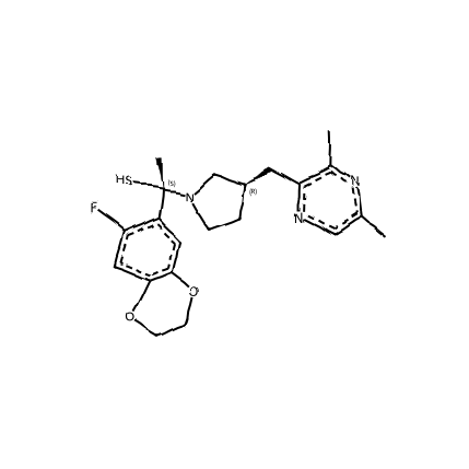 Cc1cnc(C[C@H]2CCN([C@@](C)(S)c3cc4c(cc3F)OCCO4)C2)c(C)n1